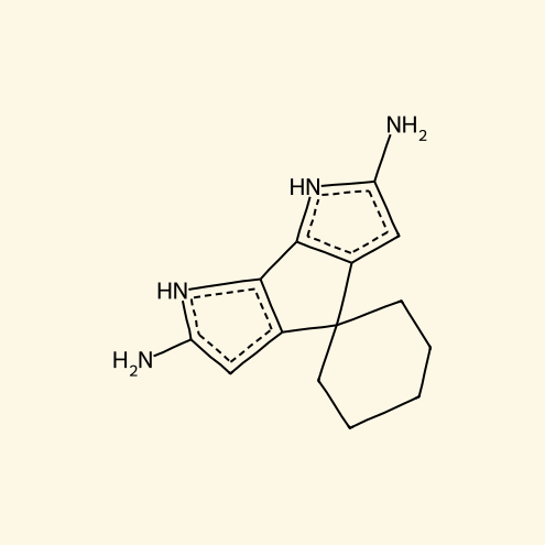 Nc1cc2c([nH]1)-c1[nH]c(N)cc1C21CCCCC1